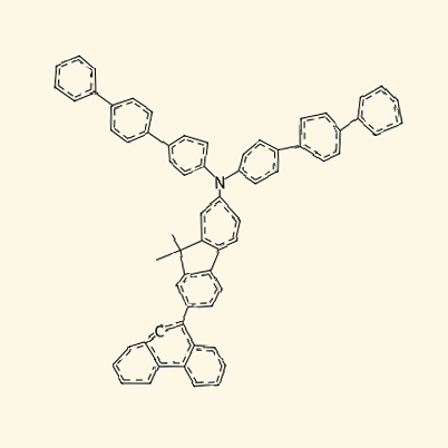 CC1(C)c2cc(-c3cc4ccccc4c4ccccc34)ccc2-c2ccc(N(c3ccc(-c4ccc(-c5ccccc5)cc4)cc3)c3ccc(-c4ccc(-c5ccccc5)cc4)cc3)cc21